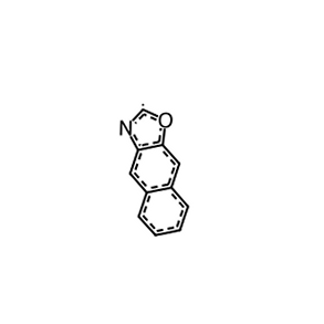 [c]1nc2cc3ccccc3cc2o1